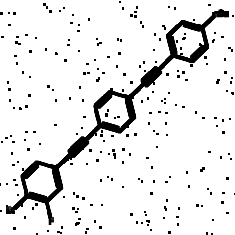 CCCCc1ccc(C#Cc2ccc(C#Cc3ccc(CC)c(F)c3)cc2)cc1